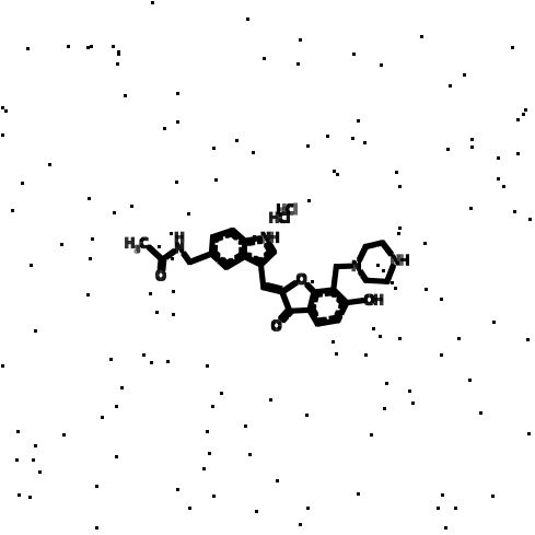 CC(=O)NCc1ccc2[nH]cc(C=C3Oc4c(ccc(O)c4CN4CCNCC4)C3=O)c2c1.Cl.Cl